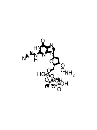 [N-]=[N+]=NNc1nc2c(ncn2[C@H]2C[C@H](OON)[C@@H](COP(=O)(O)OP(=O)(O)OP(=O)(O)O)O2)c(=O)[nH]1